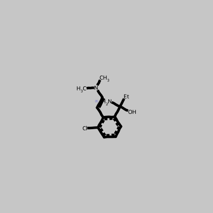 CCC(N)(O)c1cccc(Cl)c1/C=C/N(C)C